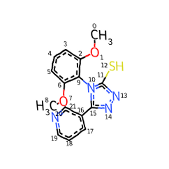 COc1cccc(OC)c1-n1c(S)nnc1-c1cccnc1